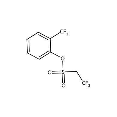 O=S(=O)(CC(F)(F)F)Oc1ccccc1C(F)(F)F